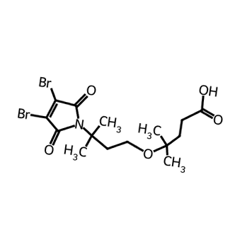 CC(C)(CCC(=O)O)OCCC(C)(C)N1C(=O)C(Br)=C(Br)C1=O